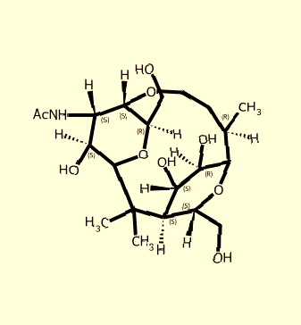 CC(=O)N[C@@H]1[C@@H]2OCC[C@@H](C)C3O[C@H](CO)[C@H]([C@H](O)[C@H]3O)C(C)(C)C(O[C@@H]2CO)[C@H]1O